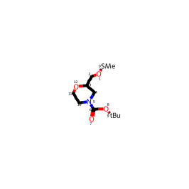 CSOCC1CN(C(=O)OC(C)(C)C)CCO1